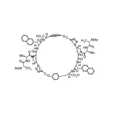 CN[C@@H](C)C(=O)N[C@H](C(=O)N1C[C@@H]2C[C@H]1C(=O)N[C@@H](Cc1ccc3ccccc3c1)C(=O)N[C@H](C(=O)O)Cc1ccc(cc1)OCc1cn(nn1)[C@H]1C[C@@H](C(=O)N[C@@H](Cc3ccc4ccccc4c3)C(=O)N[C@H](C(=O)O)c3ccc(cc3)OCc3cn2nn3)N(C(=O)[C@@H](NC(=O)[C@H](C)NC)C(C)(C)C)C1)C(C)(C)C